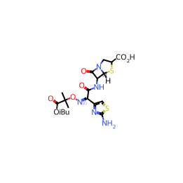 CC(C)COC(=O)C(C)(C)O/N=C(\C(=O)NC1C(=O)N2CC(C(=O)O)S[C@H]12)c1csc(N)n1